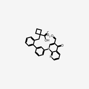 C=C(O)C1(Cc2ccccc2-c2cccc(-n3cc(C=O)c(=O)c4cccnc43)c2)CCC1